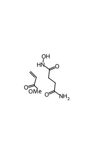 C=CC(=O)OC.NC(=O)CCC(=O)NO